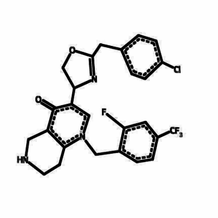 O=c1c(C2COC(Cc3ccc(Cl)cc3)=N2)cn(Cc2ccc(C(F)(F)F)cc2F)c2c1CNCC2